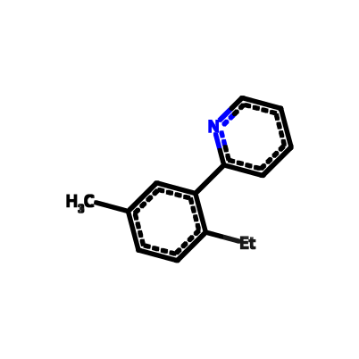 [CH2]Cc1ccc(C)cc1-c1ccccn1